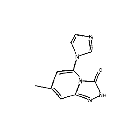 Cc1cc(-n2ccnc2)n2c(=O)[nH]nc2c1